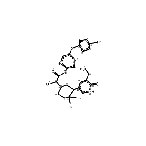 CC(C(=O)Nc1cnc(Oc2ccc(F)cc2)cn1)N1CCC(F)(F)C(c2c[nH]c(=O)c(CN)c2)C1